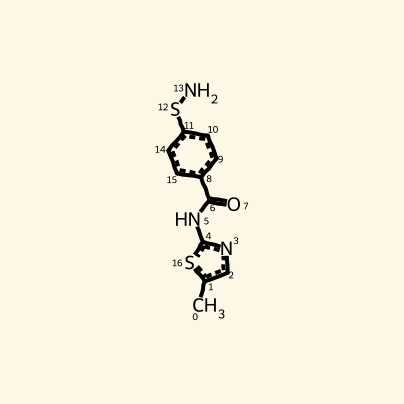 Cc1cnc(NC(=O)c2ccc(SN)cc2)s1